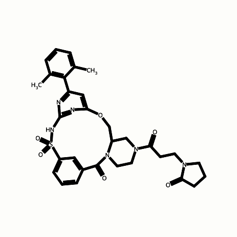 Cc1cccc(C)c1-c1cc2nc(n1)NS(=O)(=O)c1cccc(c1)C(=O)N1CCN(C(=O)CCN3CCCC3=O)CC1CO2